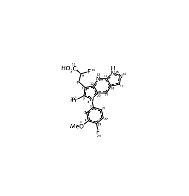 COc1cc(-n2c(C(C)C)c(C[C@H](F)C(=O)O)c3nc4[nH]ncc4cc32)ccc1F